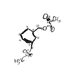 CS(=O)(=O)Cc1cccc(COS(C)(=O)=O)c1